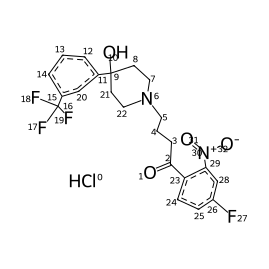 Cl.O=C(CCCN1CCC(O)(c2cccc(C(F)(F)F)c2)CC1)c1ccc(F)cc1[N+](=O)[O-]